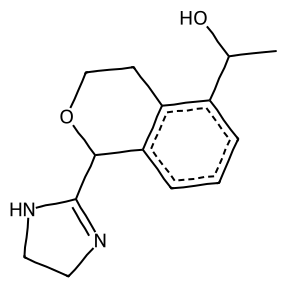 CC(O)c1cccc2c1CCOC2C1=NCCN1